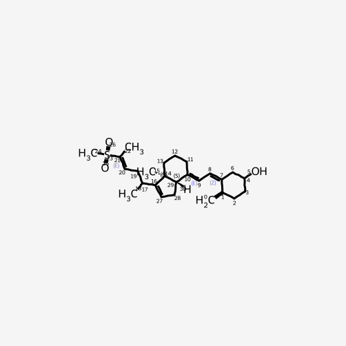 C=C1CCC(O)C/C1=C/C=C1\CCC[C@]2(C)C(C(C)C/C=C(\C)S(C)(=O)=O)=CC[C@@H]12